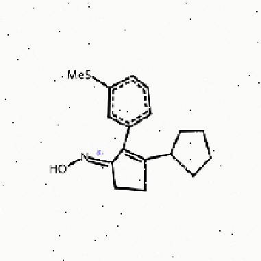 CSc1cccc(C2=C(C3CCCC3)CC/C2=N\O)c1